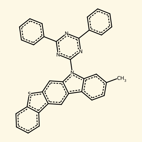 Cc1ccc2c3cc4c(cc3n(-c3nc(-c5ccccc5)nc(-c5ccccc5)n3)c2c1)sc1ccccc14